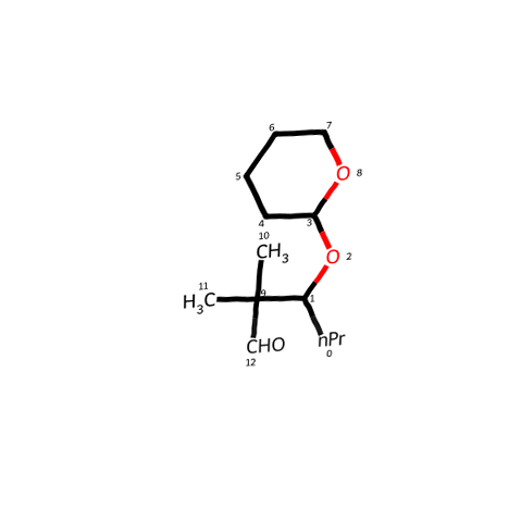 CCCC(OC1CCCCO1)C(C)(C)C=O